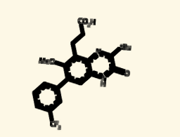 COc1c(-c2cccc(C(F)(F)F)c2)cc2[nH]c(=O)c(C(C)(C)C)nc2c1CCC(=O)O